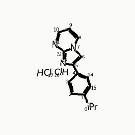 CC(C)c1ccc(-c2cn3cccnc3n2)cc1.Cl.Cl